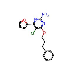 Nc1nc(OCCCc2ccccc2)c(Cl)c(-c2ccco2)n1